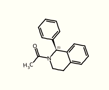 CC(=O)N1CCc2ccccc2[C@@H]1c1ccccc1